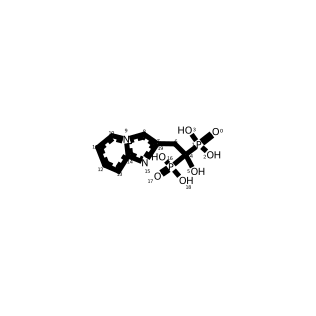 O=P(O)(O)C(O)(Cc1cn2ccccc2n1)P(=O)(O)O